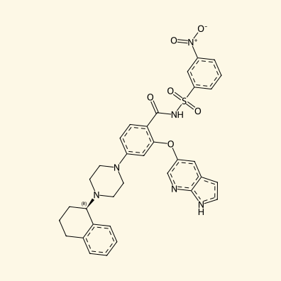 O=C(NS(=O)(=O)c1cccc([N+](=O)[O-])c1)c1ccc(N2CCN([C@@H]3CCCc4ccccc43)CC2)cc1Oc1cnc2[nH]ccc2c1